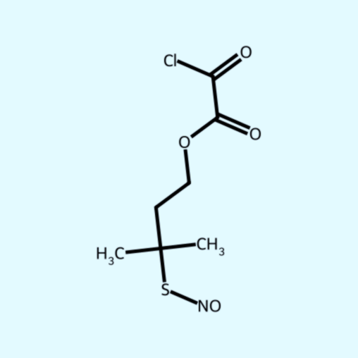 CC(C)(CCOC(=O)C(=O)Cl)SN=O